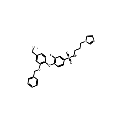 CCc1ccc(Oc2ccc(S(=O)(=O)NCCCn3ccnc3)cc2F)c(OCc2ccccc2)c1